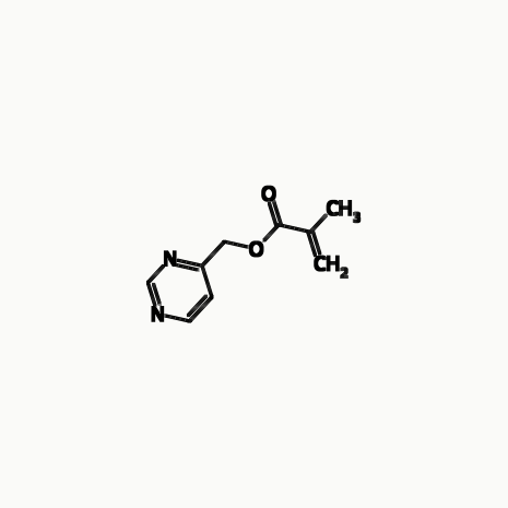 C=C(C)C(=O)OCc1ccncn1